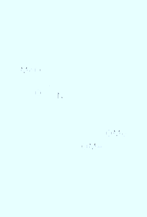 COCC(=O)N1CCc2cc(OC)c(OC)cc2C1C